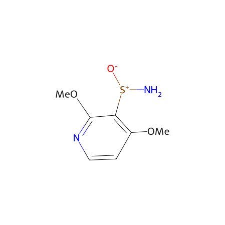 COc1ccnc(OC)c1[S+](N)[O-]